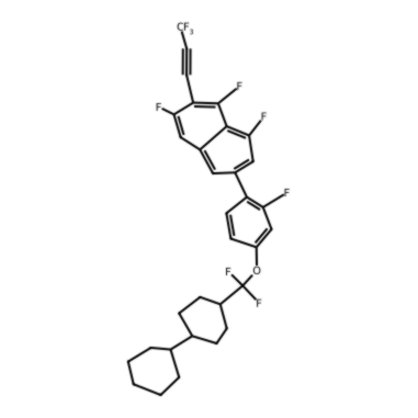 Fc1cc(OC(F)(F)C2CCC(C3CCCCC3)CC2)ccc1-c1cc(F)c2c(F)c(C#CC(F)(F)F)c(F)cc2c1